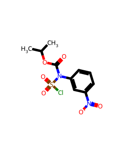 CC(C)OC(=O)N(c1cccc([N+](=O)[O-])c1)S(=O)(=O)Cl